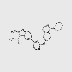 CC(C)c1c2cc(-c3ccnc(Nc4ccc5c(N6CCCCC6)ncnc5c4)n3)ccc2nn1C